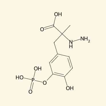 CC(Cc1ccc(O)c(OP(=O)(O)O)c1)(NN)C(=O)O